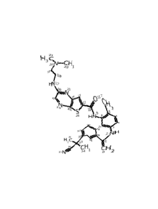 C=C(Nc1ccc(C)c(NC(=O)c2cc3nc(NCCN(C)C)cnc3s2)c1)c1cccc(C(C)(C)C#N)c1